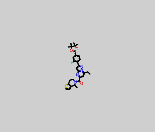 CCc1cc(C(=O)N2CCc3sccc3C2C)nc2cc(-c3ccc(B4OC(C)(C)C(C)(C)O4)cc3F)nn12